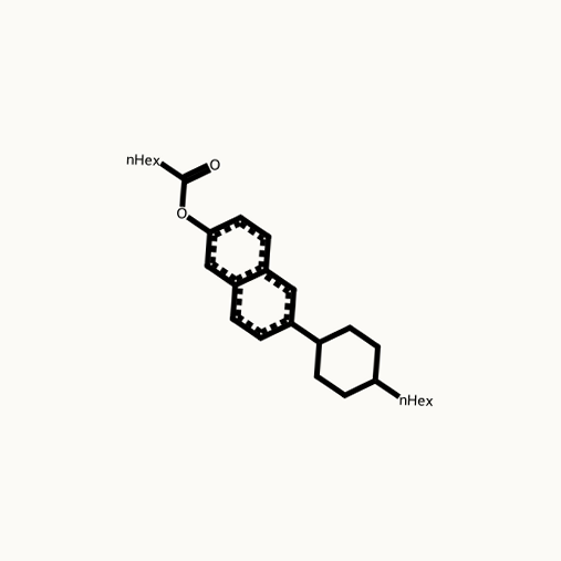 CCCCCCC(=O)Oc1ccc2cc(C3CCC(CCCCCC)CC3)ccc2c1